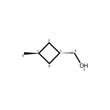 C[C@H]1C[C@H](CO)C1